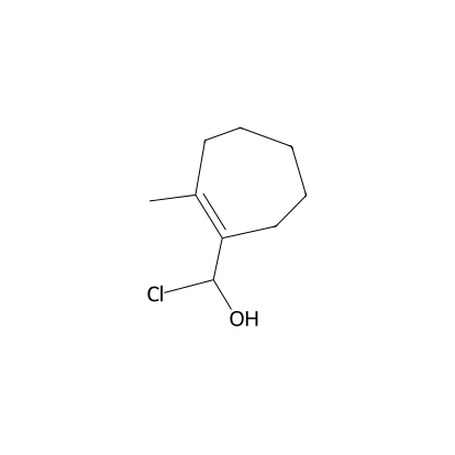 CC1=C(C(O)Cl)CCCCC1